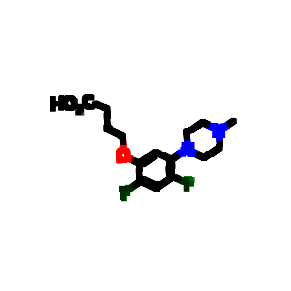 CN1CCN(c2cc(OCCCC(=O)O)c(F)cc2F)CC1